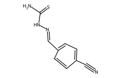 N#Cc1ccc(/C=N/NC(N)=S)cc1